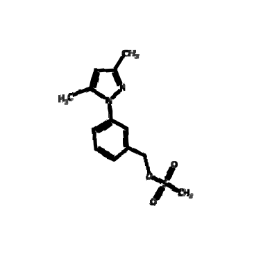 Cc1cc(C)n(-c2cccc(COS(C)(=O)=O)c2)n1